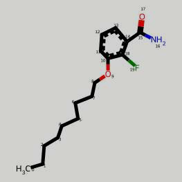 CCCCCCCCCOc1cccc(C(N)=O)c1F